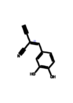 C#C/C(C#N)=C/c1ccc(O)c(O)c1